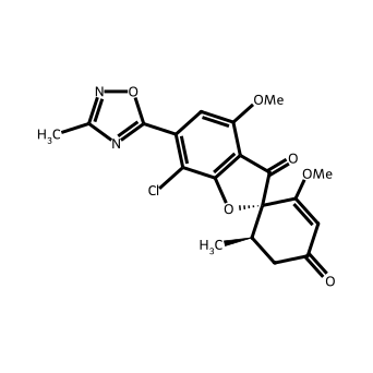 COC1=CC(=O)C[C@@H](C)[C@]12Oc1c(Cl)c(-c3nc(C)no3)cc(OC)c1C2=O